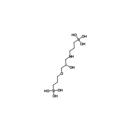 OC(CNCCC[Si](O)(O)O)COCCC[Si](O)(O)O